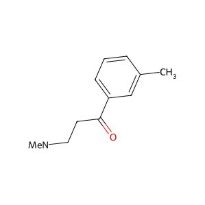 CNCCC(=O)c1cccc(C)c1